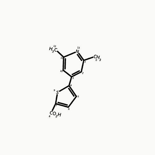 Cc1cc(-c2ccc(C(=O)O)s2)cc(C)n1